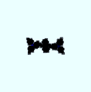 Cc1ccc(N(c2ccc(C)cc2)c2ccc(CCc3c4ccccc4c(CCc4ccc(N(c5ccc(C)cc5)c5ccc(C)cc5)cc4)c4ccccc34)cc2)cc1